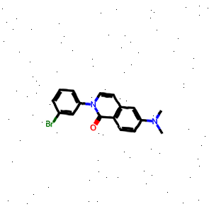 CN(C)c1ccc2c(=O)n(-c3cccc(Br)c3)ccc2c1